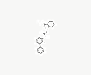 O=C(Cn1nc(C(F)(F)F)c2c1CCCC2)Nc1cccc(-c2ccccc2)c1